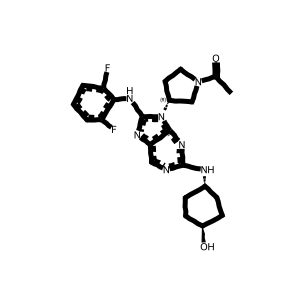 CC(=O)N1CC[C@@H](n2c(Nc3c(F)cccc3F)nc3cnc(N[C@H]4CC[C@H](O)CC4)nc32)C1